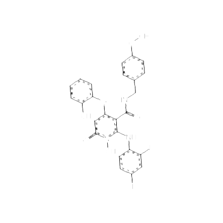 COc1ccc(CNC(=O)c2c(Oc3ccccc3C)cc(=O)n(C)c2Nc2ccc(I)cc2F)cc1